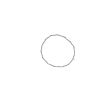 [CH]1CCC[CH]CCCCCCCCCC1